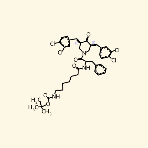 CC(C)(C)OC(=O)NCCCCCCC(=O)NC(Cc1ccccc1)C(=O)N1C/C(=C\c2ccc(Cl)c(Cl)c2)C(=O)/C(=C/c2ccc(Cl)c(Cl)c2)C1